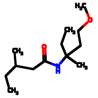 CCC(C)CC(=O)NC(C)(CC)CCOC